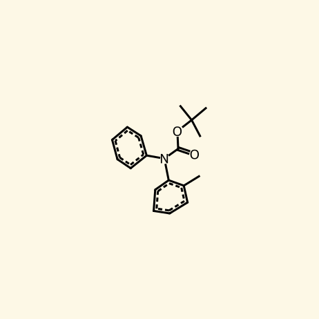 Cc1ccccc1N(C(=O)OC(C)(C)C)c1ccccc1